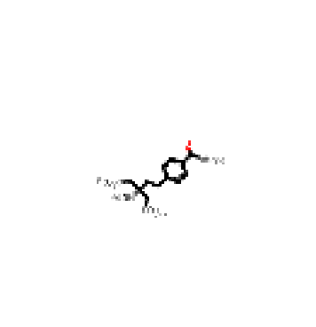 CCCCCCCC(=O)c1ccc(CCC(CC(=O)OCC)(CC(=O)OCC)NC(C)=O)cc1